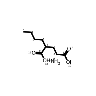 CCCCC(C[C@@H](N)C(=O)O)C(=O)O